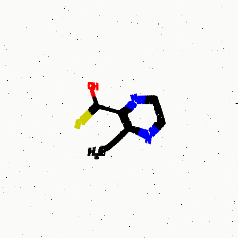 OC(=S)c1nccnc1[SiH3]